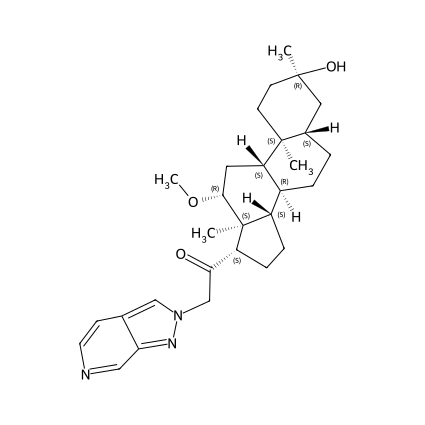 CO[C@@H]1C[C@H]2[C@@H](CC[C@H]3C[C@](C)(O)CC[C@@]32C)[C@@H]2CC[C@H](C(=O)Cn3cc4ccncc4n3)[C@@]12C